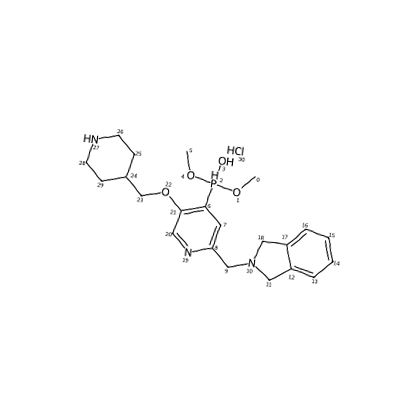 CO[PH](O)(OC)c1cc(CN2Cc3ccccc3C2)ncc1OCC1CCNCC1.Cl